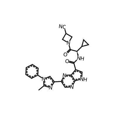 Cc1nc(-c2cnc3[nH]cc(C(=O)N[C@@H](C(=O)N4CC(C#N)C4)C4CC4)c3n2)cn1-c1ccccc1